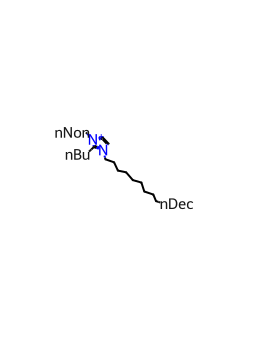 CCCCCCCCCCCCCCCCCCCn1cc[n+](CCCCCCCCC)c1CCCC